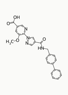 COc1cc(C(=O)O)cnc1-n1cc(C(=O)NCc2ccc(-c3ccccc3)cc2)cn1